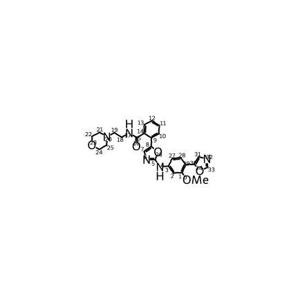 COc1cc(Nc2ncc(-c3ccccc3C(=O)NCCN3CCOCC3)o2)ccc1-c1cnco1